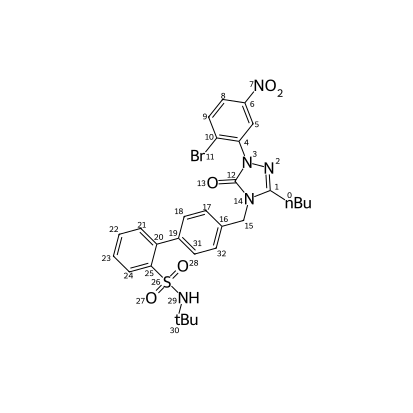 CCCCc1nn(-c2cc([N+](=O)[O-])ccc2Br)c(=O)n1Cc1ccc(-c2ccccc2S(=O)(=O)NC(C)(C)C)cc1